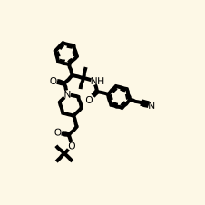 CC(C)(C)OC(=O)CC1CCN(C(=O)C(c2ccccc2)C(C)(C)NC(=O)c2ccc(C#N)cc2)CC1